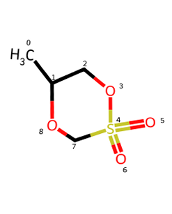 CC1COS(=O)(=O)CO1